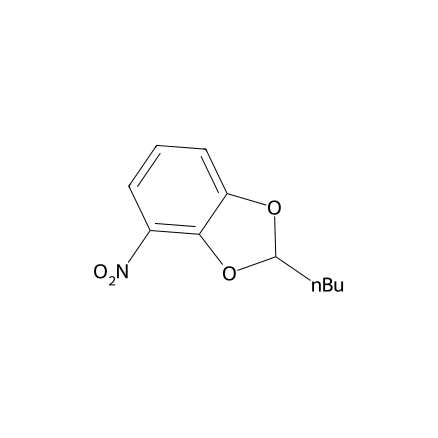 CCCCC1Oc2cccc([N+](=O)[O-])c2O1